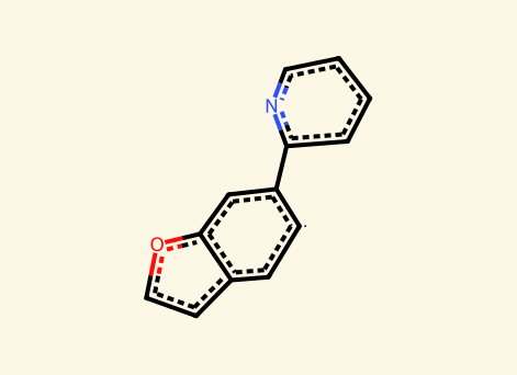 [c]1cc2ccoc2cc1-c1ccccn1